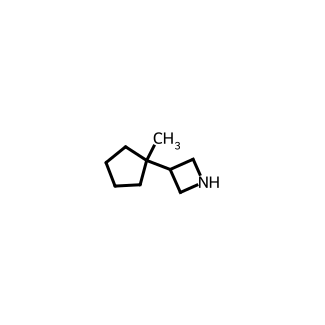 CC1(C2CNC2)CCCC1